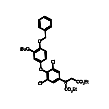 CCOC(=O)CN(C(=O)OCC)c1cc(Cl)c(Oc2ccc(OCc3ccccc3)c(OCC(C)C)c2)c(Cl)c1